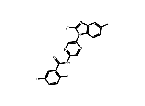 Cc1ccc2c(c1)nc(C(F)(F)F)n2-c1cnc(NC(=O)c2cc(F)ccc2F)cn1